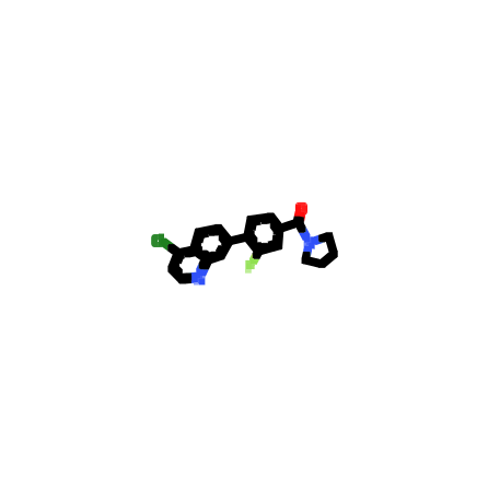 O=C(c1ccc(-c2ccc3c(Cl)ccnc3c2)c(F)c1)N1CCCC1